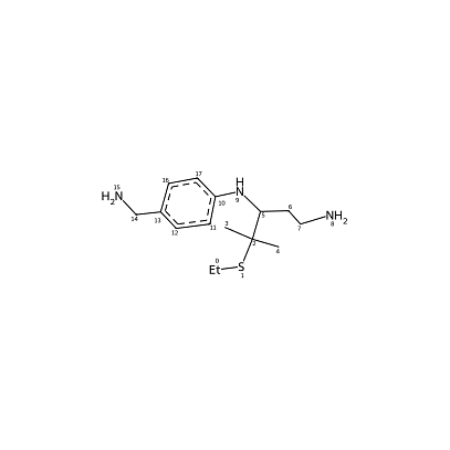 CCSC(C)(C)C(CCN)Nc1ccc(CN)cc1